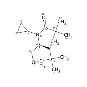 CC(C)(C)C[C@@H](CO)N(C(=O)C(C)(C)C)C1CC1